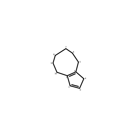 C1=CC2=C(C1)CCCCCC2